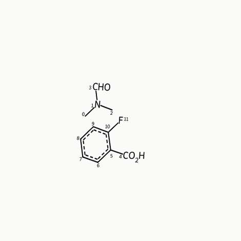 CN(C)C=O.O=C(O)c1ccccc1F